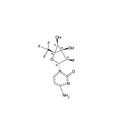 Nc1ccn([C@@H]2O[C@]3(C(F)(F)F)[C@@H](O)[C@]3(O)[C@H]2F)c(=O)n1